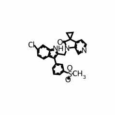 CS(=O)(=O)c1cccc(-c2c(CN3C(=O)C4(CC4)c4ccncc43)[nH]c3cc(Cl)ccc23)c1